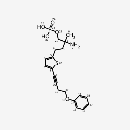 CC(N)(CCc1ccc(C#CCCOc2ccccc2)s1)COP(=O)(O)O